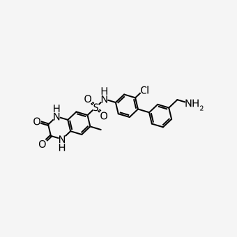 Cc1cc2[nH]c(=O)c(=O)[nH]c2cc1S(=O)(=O)Nc1ccc(-c2cccc(CN)c2)c(Cl)c1